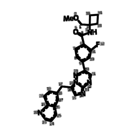 COCC1(NC(=O)c2ccc(-c3cnc4ncc(Cc5ccc6ncccc6c5)n4n3)cc2F)CCC1